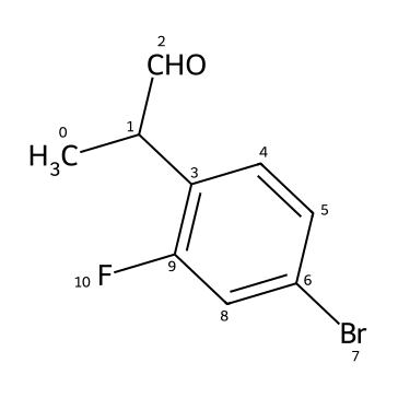 CC(C=O)c1ccc(Br)cc1F